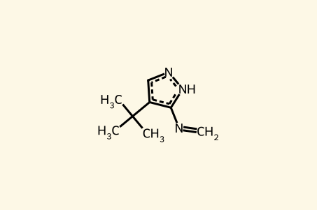 C=Nc1[nH]ncc1C(C)(C)C